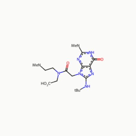 CNCCN(CC(=O)O)C(=O)Cn1c(NC(C)(C)C)nc2c(=O)[nH]c(NC)nc21